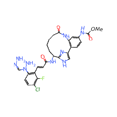 COC(=O)Nc1ccc2c(c1)NC(=O)CCCC[C@H](NC(=O)/C=C/c1c(N(N)/C=N\N)ccc(Cl)c1F)c1nc-2c[nH]1